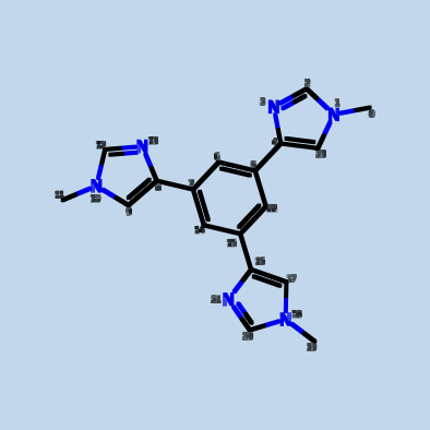 Cn1cnc(-c2cc(-c3cn(C)cn3)cc(-c3cn(C)cn3)c2)c1